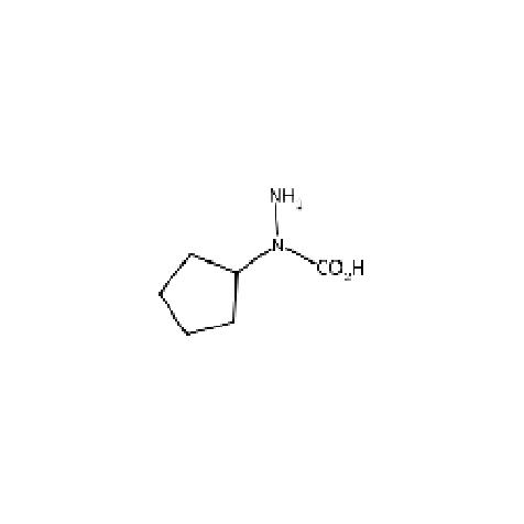 NN(C(=O)O)C1CCCC1